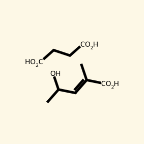 CC(=CC(C)O)C(=O)O.O=C(O)CCC(=O)O